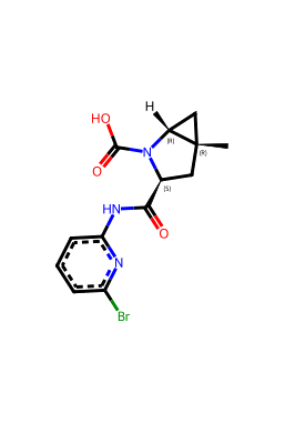 C[C@@]12C[C@@H](C(=O)Nc3cccc(Br)n3)N(C(=O)O)[C@@H]1C2